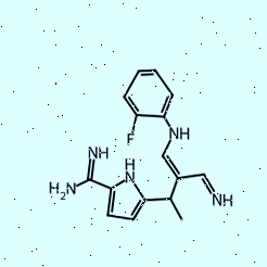 CC(/C(C=N)=C/Nc1ccccc1F)c1ccc(C(=N)N)[nH]1